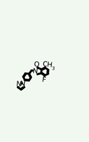 Cc1ccc(F)c2c1C(=O)N(Cc1ccc(-n3cccn3)cc1)C2